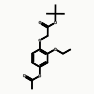 CCOc1cc(OC(C)=O)ccc1OCC(=O)OC(C)(C)C